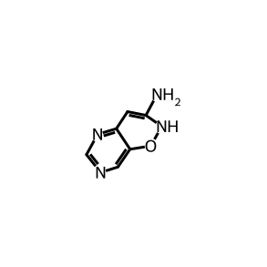 NC1=Cc2ncncc2ON1